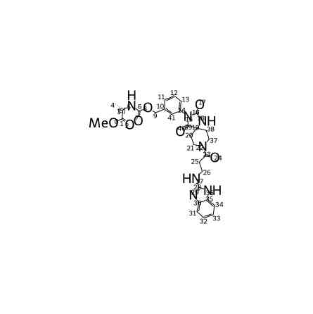 COC(=O)[C@H](C)NC(=O)OCc1cccc(N2C(=O)NC3(CCN(C(=O)CCNc4nc5ccccc5[nH]4)CC3)C2=O)c1